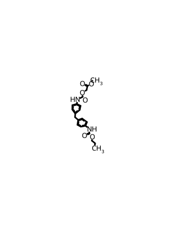 CCCOC(=O)Nc1ccc(Cc2ccc(NC(=O)OCC(=O)OC)cc2)cc1